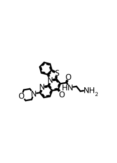 NCCNC(=O)c1c(=O)c2ccc(N3CCOCC3)nc2n2c1sc1ccccc12